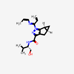 C=C/C(=N\C=C/C)n1nc(C(=O)N[C@H](CO)C(C)C)c2c1[C@H]1C[C@H]1C2